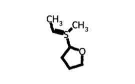 CC=S(C)C1CCCO1